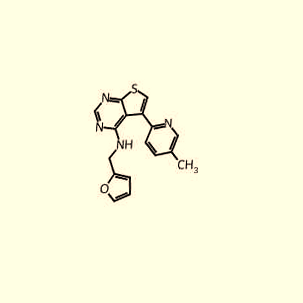 Cc1ccc(-c2csc3ncnc(NCc4ccco4)c23)nc1